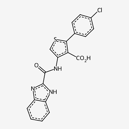 O=C(Nc1csc(-c2ccc(Cl)cc2)c1C(=O)O)c1nc2ccccc2[nH]1